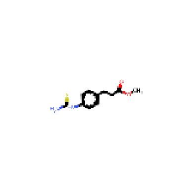 COC(=O)CCc1ccc(NC(N)=S)cc1